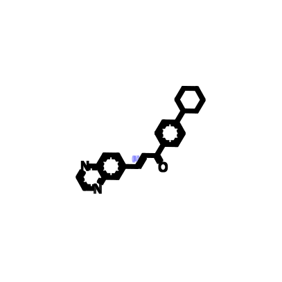 O=C(/C=C/c1ccc2nccnc2c1)c1ccc(C2CCCCC2)cc1